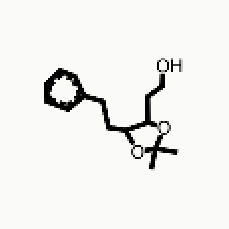 CC1(C)OC(CCO)C(CCc2ccccc2)O1